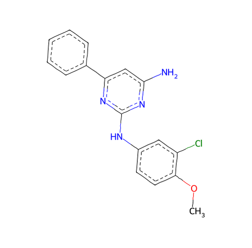 COc1ccc(Nc2nc(N)cc(-c3ccccc3)n2)cc1Cl